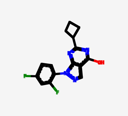 Oc1nc(C2CCC2)nc2c1cnn2-c1ccc(F)cc1F